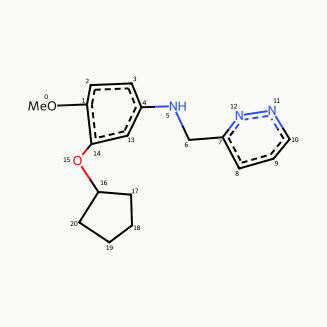 COc1ccc(NCc2cccnn2)cc1OC1CCCC1